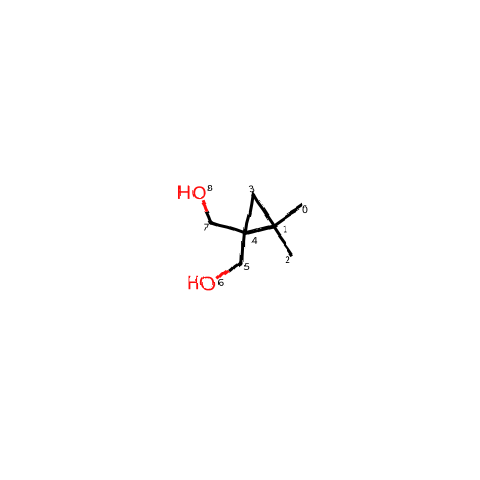 CC1(C)CC1(CO)CO